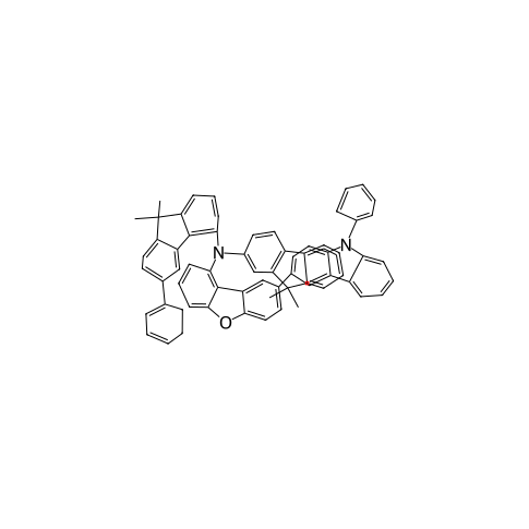 CC1(C)C2=CC=C=C=C2c2ccc(N(c3cccc4c3-c3cc(C5=CC=CCC5)ccc3C4(C)C)c3cccc4oc5ccc(-c6ccc7c(c6)c6ccccc6n7-c6ccccc6)cc5c34)cc21